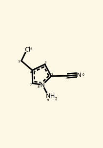 N#Cc1cc(CCl)cn1N